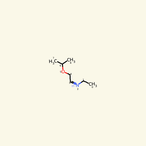 CC/N=[C]\COC(C)C